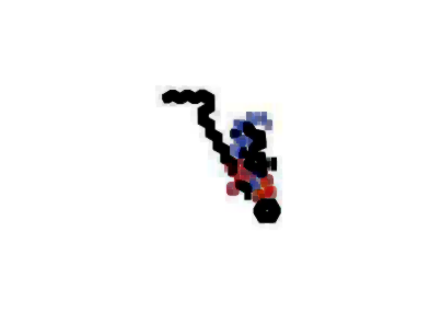 CCCCC/C=C\C/C=C\CCCCCCCCOC(=O)[C@H](C)NP(=O)(Oc1ccccc1)OC1[C@H]2C[C@@](C#N)(c3ccc4c(N)ncnn34)[C@H](O)[C@@]12O